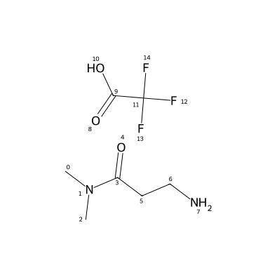 CN(C)C(=O)CCN.O=C(O)C(F)(F)F